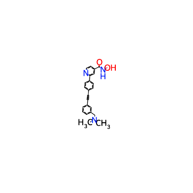 CN(C)Cc1cccc(C#Cc2ccc(-c3cc(C(=O)NO)ccn3)cc2)c1